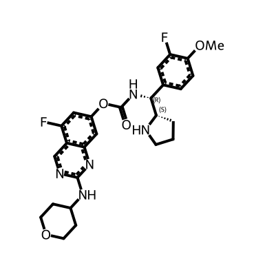 COc1ccc([C@@H](NC(=O)Oc2cc(F)c3cnc(NC4CCOCC4)nc3c2)[C@@H]2CCCN2)cc1F